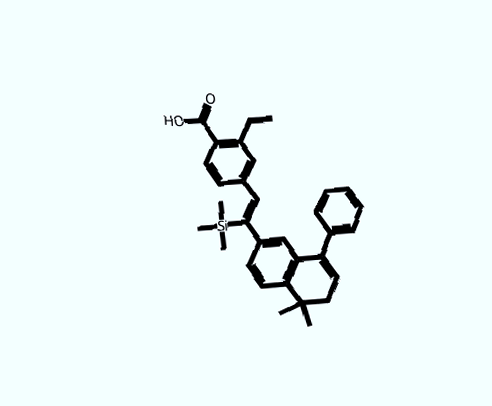 CCc1cc(C=C(c2ccc3c(c2)C(c2ccccc2)=CCC3(C)C)[Si](C)(C)C)ccc1C(=O)O